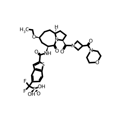 CCO[C@H]1CC[C@H]2CC[C@@H](C(=O)N3CC(C(=O)N4CCOCC4)C3)N2C(=O)[C@@H](NC(=O)c2cc3cc(C(F)(F)P(=O)(O)O)ccc3s2)C1